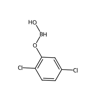 OBOc1cc(Cl)ccc1Cl